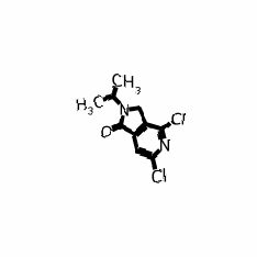 CC(C)N1Cc2c(cc(Cl)nc2Cl)C1=O